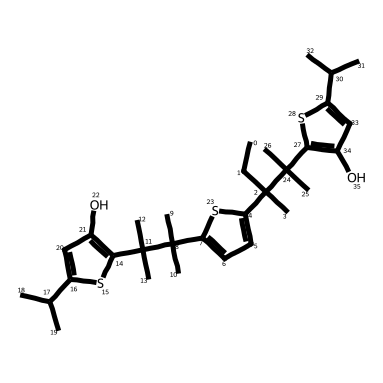 CCC(C)(c1ccc(C(C)(C)C(C)(C)c2sc(C(C)C)cc2O)s1)C(C)(C)c1sc(C(C)C)cc1O